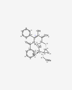 C=C(/C(O)=C(\OC(=O)c1ccccc1)c1ccccc1)C(C)C[C@@H]1O[C@@]1(COC)[C@@H](C)O